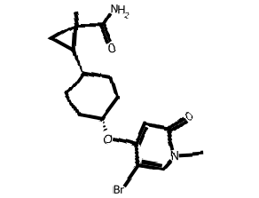 Cn1cc(Br)c(O[C@H]2CC[C@H](C3CC3(C)C(N)=O)CC2)cc1=O